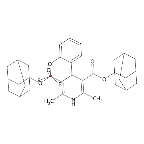 CC1=C(C(=O)OC23CC4CC(CC(C4)C2)C3)C(c2ccccc2OC(F)F)C(C(=O)OC23CC4CC(CC(C4)C2)C3)=C(C)N1